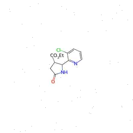 CCOC(=O)C1CC(=O)NC1c1ncccc1Cl